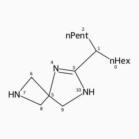 CCCCCCC(CCCCC)C1=NC2(CNC2)CN1